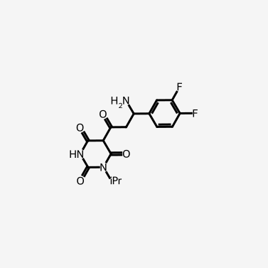 CC(C)N1C(=O)NC(=O)C(C(=O)CC(N)c2ccc(F)c(F)c2)C1=O